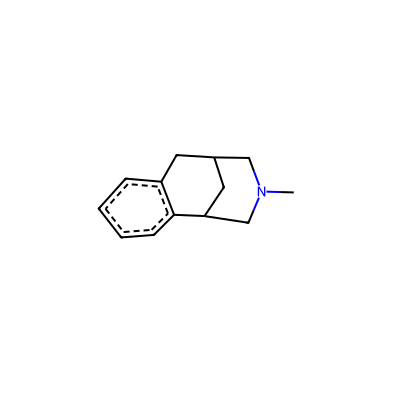 CN1CC2Cc3ccccc3C(C2)C1